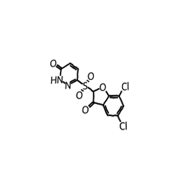 O=C1c2cc(Cl)cc(Cl)c2OC1S(=O)(=O)c1ccc(=O)[nH]n1